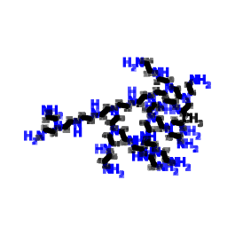 CC(CN(CCN)CCN(CCNCCN)CCN(CCNCCN(CCNCCNCCN(CCN)CCN)CCN(CCNCCN)CCNCCNCCN)CCN(CCNCCNCCN)CCN(CCN)CCN)NCCN